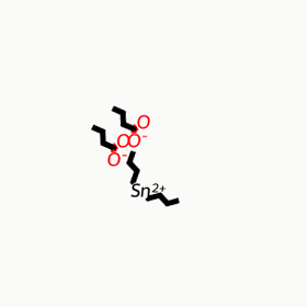 CCCC(=O)[O-].CCCC(=O)[O-].CCC[CH2][Sn+2][CH2]CCC